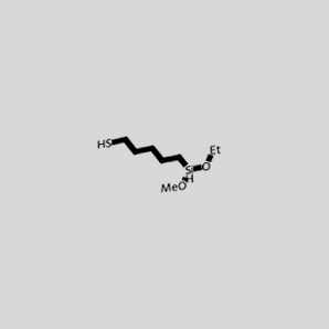 CCO[SiH](CCCCCS)OC